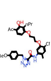 CCCc1c(OCCCOc2cc(NC(=O)c3nnnn3Cc3ccc(OC)cc3)c(C)cc2C#N)ccc(C(C)=O)c1O